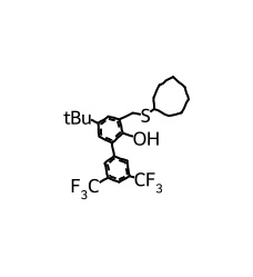 CC(C)(C)c1cc(CSC2CCCCCCC2)c(O)c(-c2cc(C(F)(F)F)cc(C(F)(F)F)c2)c1